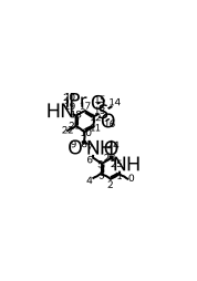 Cc1cc(C)c(CNC(=O)c2cc(S(C)(=O)=O)cc(NC(C)C)c2C)c(=O)[nH]1